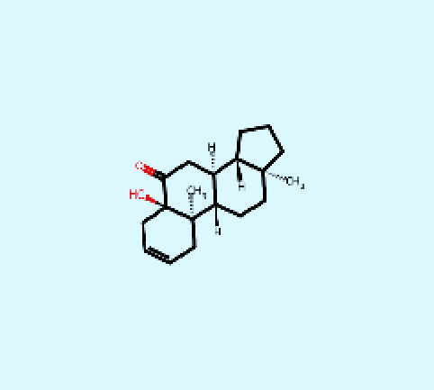 C[C@@]12CCC[C@H]1[C@@H]1CC(=O)[C@@]3(O)CC=CC[C@]3(C)[C@H]1CC2